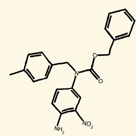 Cc1ccc(CN(C(=O)OCc2ccccc2)c2ccc(N)c([N+](=O)[O-])c2)cc1